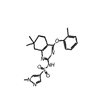 Cc1ccccc1Oc1nc(NS(=O)(=O)c2cnn(C)c2)nc2c1CCC(C)(C)C2